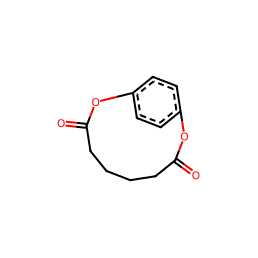 O=C1CCCCC(=O)Oc2ccc(cc2)O1